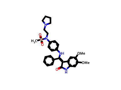 COc1cc2c(cc1OC)C(=C(Nc1ccc(N(CCN3CCCC3)S(C)(=O)=O)cc1)c1ccccc1)C(=O)N2